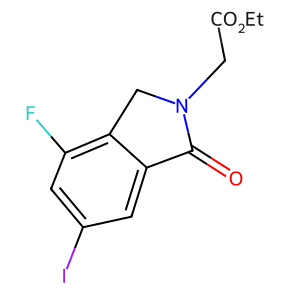 CCOC(=O)CN1Cc2c(F)cc(I)cc2C1=O